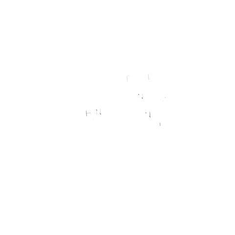 CCn1c(=O)n(C(F)F)c2cc(N)ccc21